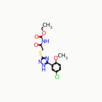 CCOC(=O)NC(=O)CSc1n[nH]c(-c2cc(Cl)ccc2OC)n1